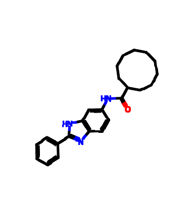 O=C(Nc1ccc2nc(-c3ccccc3)[nH]c2c1)C1CCCCCCCCC1